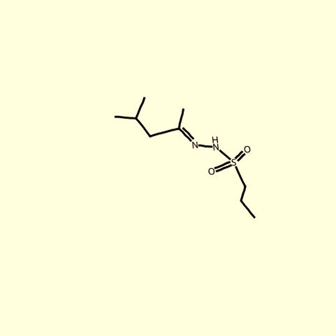 CCCS(=O)(=O)N/N=C(\C)CC(C)C